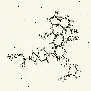 C=CC(=O)N1CC2(CCN(c3nc(OC[C@@H]4CCCN4C)nc4c(OC)c(-c5c(C)ccc6[nH]ncc56)c(C=C)cc34)CC2)C1